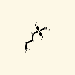 CCCCC[N]S(N)(=O)=O